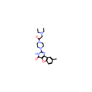 CCN(CC)CC(=O)N1CCN(c2nc3c(oc4ccc(C)cc43)c(=O)[nH]2)CC1